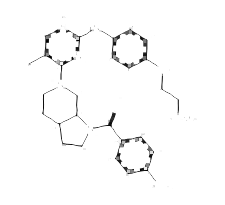 COCCOc1ccc(Nc2ncc(C)c(N3CCC4CCN(C(=O)c5ccc(C(C)(C)C)cc5)C4C3)n2)cc1